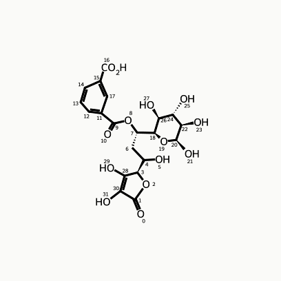 O=C1O[C@H](C(O)C[C@H](OC(=O)c2cccc(C(=O)O)c2)[C@@H]2O[C@H](O)[C@H](O)[C@@H](O)[C@@H]2O)C(O)=C1O